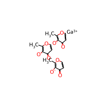 Cc1occc(=O)c1[O-].Cc1occc(=O)c1[O-].Cc1occc(=O)c1[O-].[Ga+3]